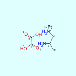 CC(N)CN.O=C(O)C(=O)O.[Pt]